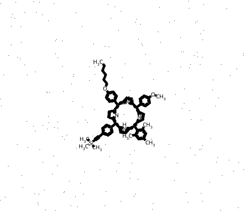 CCCCCCOc1ccc(-c2c3nc(c(-c4ccc(C#C[Si](C)(C)C)cc4)c4ccc([nH]4)c(-c4c(C)cc(C)cc4C)c4nc(c(-c5ccc(OC)cc5)c5ccc2[nH]5)C=C4)C=C3)cc1